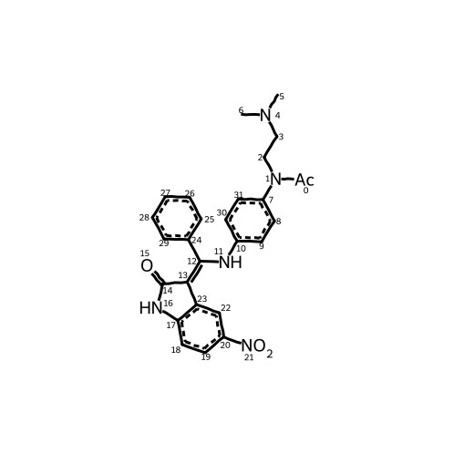 CC(=O)N(CCN(C)C)c1ccc(NC(=C2C(=O)Nc3ccc([N+](=O)[O-])cc32)c2ccccc2)cc1